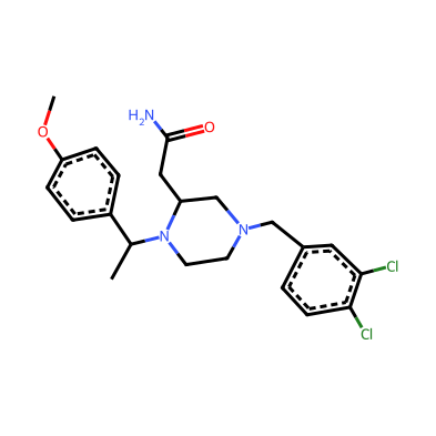 COc1ccc(C(C)N2CCN(Cc3ccc(Cl)c(Cl)c3)CC2CC(N)=O)cc1